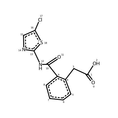 O=C(O)Cc1ccccc1C(=O)Nc1ncc(Cl)s1